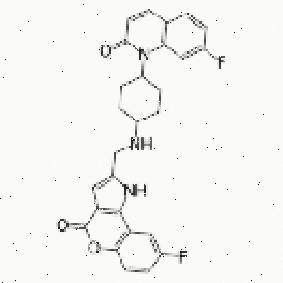 O=c1oc2ccc(F)cc2c2[nH]c(CNC3CCC(n4c(=O)ccc5ccc(F)cc54)CC3)cc12